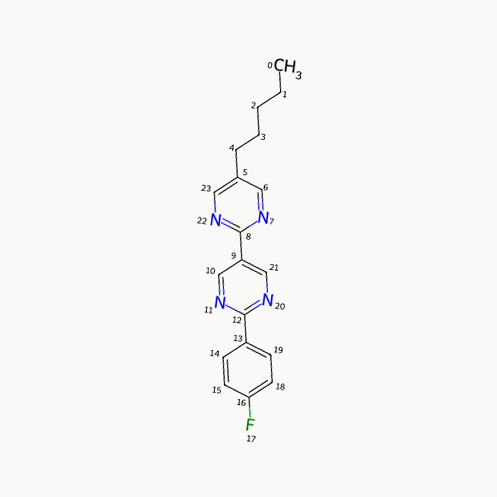 CCCCCc1cnc(-c2cnc(-c3ccc(F)cc3)nc2)nc1